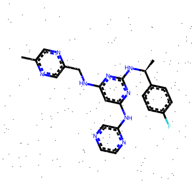 Cc1cnc(CNc2cc(Nc3cnccn3)nc(N[C@@H](C)c3ccc(F)cc3)n2)cn1